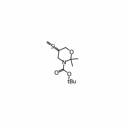 C=[Si]=C1COC(C)(C)N(C(=O)OC(C)(C)C)C1